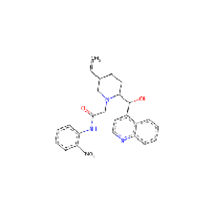 C=CC1CCC(C(O)c2ccnc3ccccc23)N(CC(=O)Nc2ccccc2[N+](=O)[O-])C1